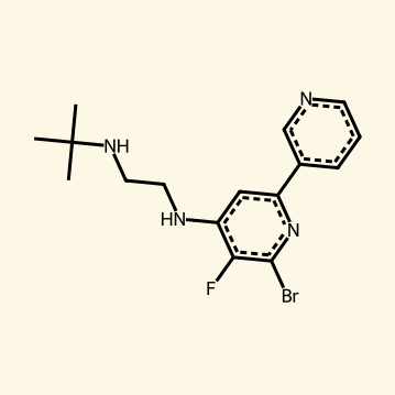 CC(C)(C)NCCNc1cc(-c2cccnc2)nc(Br)c1F